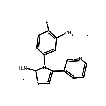 Cc1cc(N2C(c3cccnc3)=CSC2N)ccc1F